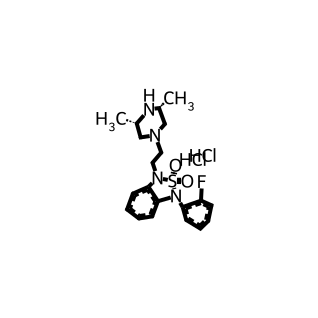 C[C@@H]1CN(CCN2c3ccccc3N(c3ccccc3F)S2(=O)=O)C[C@H](C)N1.Cl.Cl